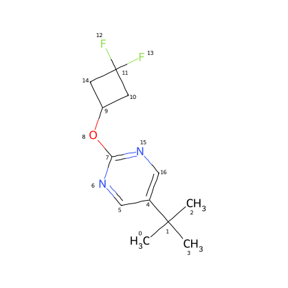 CC(C)(C)c1cnc(OC2CC(F)(F)C2)nc1